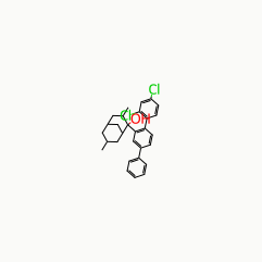 CC1CC2CC(C)C(O)(c3cc(-c4ccccc4)ccc3-c3ccc(Cl)cc3Cl)C(C1)C2